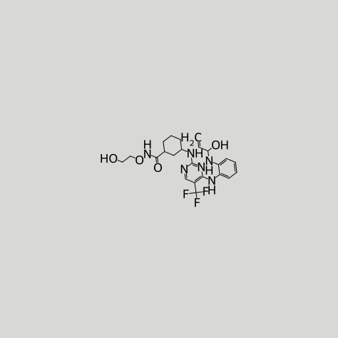 C=CC(O)Nc1ccccc1Nc1nc(NC2CCCC(C(=O)NOCCO)C2)ncc1C(F)(F)F